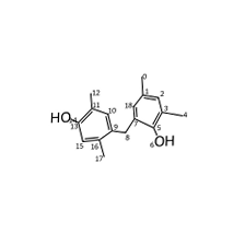 Cc1cc(C)c(O)c(Cc2cc(C)c(O)cc2C)c1